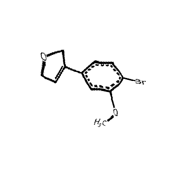 COc1cc(C2=CCOC2)ccc1Br